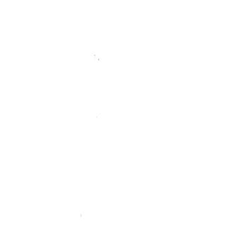 C#CCCOc1cccc2cccnc12